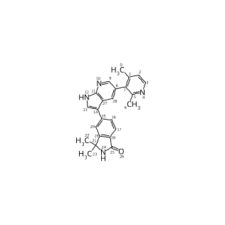 Cc1ccnc(C)c1-c1cnc2[nH]cc(-c3ccc4c(c3)C(C)(C)NC4=O)c2c1